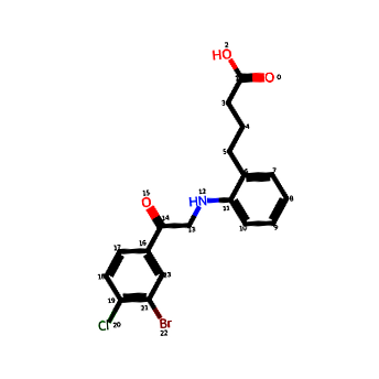 O=C(O)CCCc1ccccc1NCC(=O)c1ccc(Cl)c(Br)c1